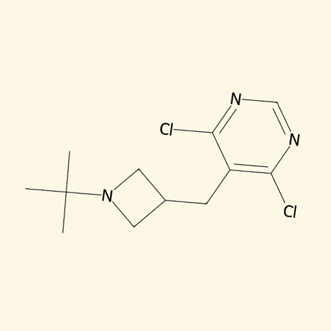 CC(C)(C)N1CC(Cc2c(Cl)ncnc2Cl)C1